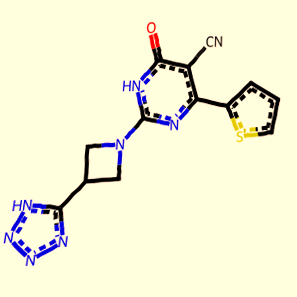 N#Cc1c(-c2cccs2)nc(N2CC(c3nnn[nH]3)C2)[nH]c1=O